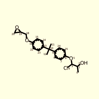 CC(O)C(Cl)Oc1ccc(C(C)(C)c2ccc(OCC3CO3)cc2)cc1